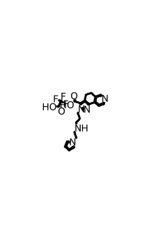 O=C(O)C(F)(F)F.O=C(O)c1c2c(nn1CCCNCCn1cccc1)-c1ccncc1CC2